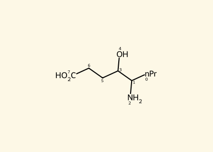 CCCC(N)C(O)CCC(=O)O